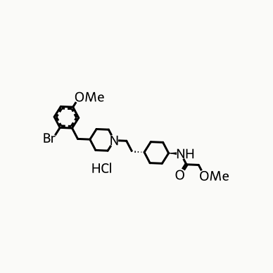 COCC(=O)N[C@H]1CC[C@H](CCN2CCC(Cc3cc(OC)ccc3Br)CC2)CC1.Cl